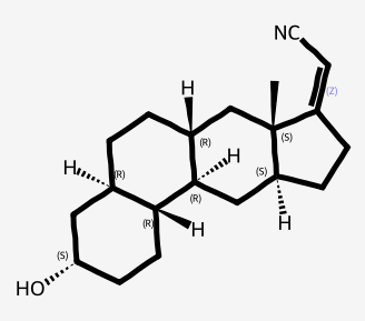 C[C@]12C[C@H]3CC[C@@H]4C[C@@H](O)CC[C@H]4[C@@H]3C[C@@H]1CC/C2=C/C#N